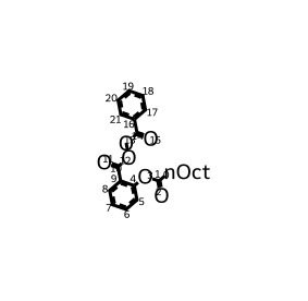 CCCCCCCCC(=O)Oc1ccccc1C(=O)OOC(=O)c1ccccc1